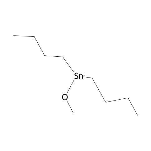 CCC[CH2][Sn]([CH2]CCC)[O]C